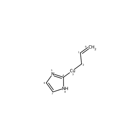 C=C[CH2][Cu][c]1ncc[nH]1